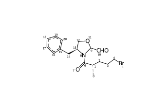 C[C@@H](CCCBr)C(=O)N1C(C=O)OC[C@@H]1Cc1ccccc1